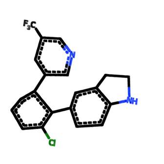 FC(F)(F)c1cncc(-c2cccc(Cl)c2-c2ccc3c(c2)CCN3)c1